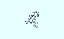 COc1ccc(Sc2ncccc2N)c(NC=O)c1